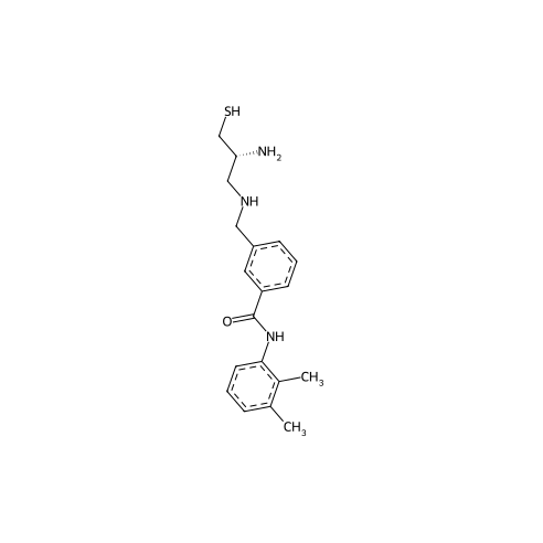 Cc1cccc(NC(=O)c2cccc(CNC[C@@H](N)CS)c2)c1C